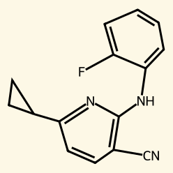 N#Cc1ccc(C2CC2)nc1Nc1ccccc1F